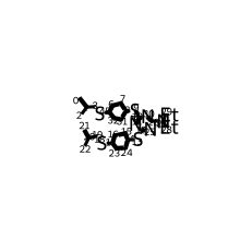 C=C(C)CSc1ccc(Sc2nc(Sc3ccc(SCC(=C)C)cc3)nc(N(CC)CC)n2)cc1